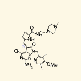 COc1c(C)cnc(CN2C(=O)/C(=C\c3ccc(C(=O)NCCN4CCN(C)CC4)[nH]3)c3c(Cl)nc(N)nc32)c1C